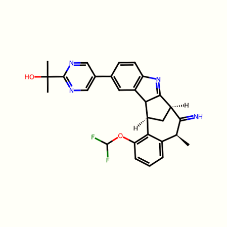 C[C@@H]1C(=N)[C@H]2C[C@@H](c3c(OC(F)F)cccc31)C1C2=Nc2ccc(-c3cnc(C(C)(C)O)nc3)cc21